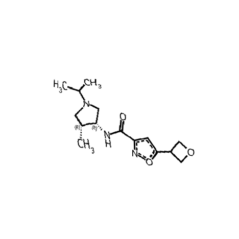 CC(C)N1C[C@@H](C)[C@@H](NC(=O)c2cc(C3COC3)on2)C1